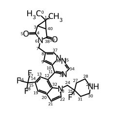 CC1(C)C2C(=O)N(Cc3cc4c(-c5cc(C(F)(F)F)cc6ccn(CC7(F)CCNCC7)c56)ncnn4c3)C(=O)C21